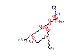 CC/C=C\CCCCOC(CCC(=O)OCC(COC(=O)CCCCCCC(=O)OCCC(CCCC)CCCC)COC(=O)CCC(CCCCCC)OC(=O)NCCN1CCCC1)OCCCC/C=C\CC